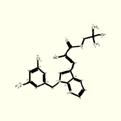 CC(C)(O)COC(=O)/C(C#N)=C/c1cn(Cc2cc(C(F)(F)F)cc(C(F)(F)F)c2)c2ncccc12